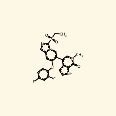 CCS(=O)(=O)c1ncc2cc(Oc3ccc(F)cc3F)c(-c3cn(C)c(=O)c4[nH]ccc34)cn12